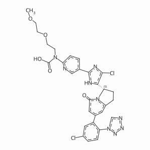 COCCOCCN(C(=O)O)c1ccc(-c2nc(Cl)c([C@@H]3CCc4cc(-c5cc(Cl)ccc5-n5cnnn5)cc(=O)n43)[nH]2)cn1